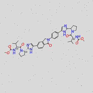 COC(=O)N[C@H](C(=O)N1CCC[C@H]1c1ncc(-c2ccc3c(c2)CN(c2ccc(-c4cnc(C5CCCN5C(=O)[C@H](NC(=O)OC)C(C)C)[nH]4)cc2)C3=O)[nH]1)C(C)C